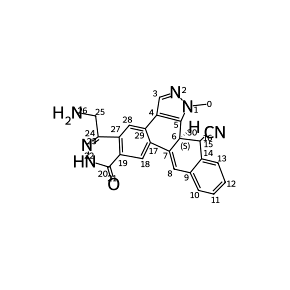 Cn1ncc2c1[C@@H]1C(=Cc3ccccc3C1C#N)c1cc3c(=O)[nH]nc(CN)c3cc1-2